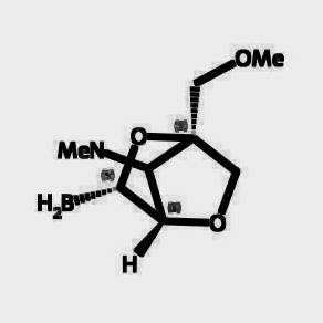 B[C@@H]1O[C@@]2(COC)CO[C@H]1C2NC